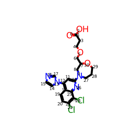 O=C(O)CCOCC1CN(c2cc(-n3ccnc3)c3ccc(Cl)c(Cl)c3n2)CCCO1